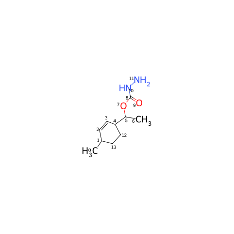 CC1C=CC(C(C)OC(=O)NN)CC1